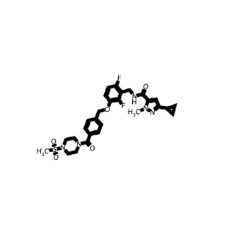 Cn1nc(C2CC2)cc1C(=O)NCc1c(F)ccc(OCc2ccc(C(=O)N3CCN(S(C)(=O)=O)CC3)cc2)c1F